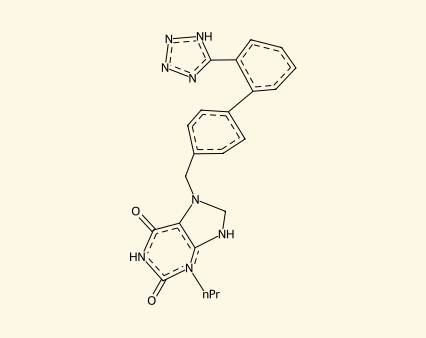 CCCn1c2c(c(=O)[nH]c1=O)N(Cc1ccc(-c3ccccc3-c3nnn[nH]3)cc1)CN2